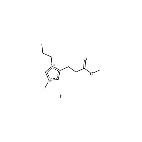 CCC[n+]1cn(C)cc1CCC(=O)OC.[I-]